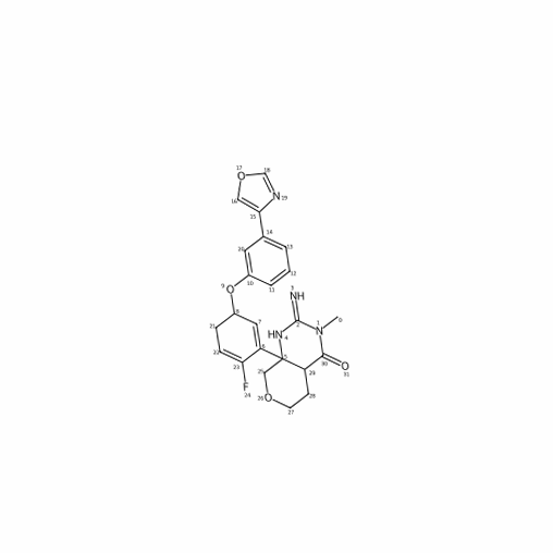 CN1C(=N)NC2(C3=CC(Oc4cccc(-c5cocn5)c4)CC=C3F)COCCC2C1=O